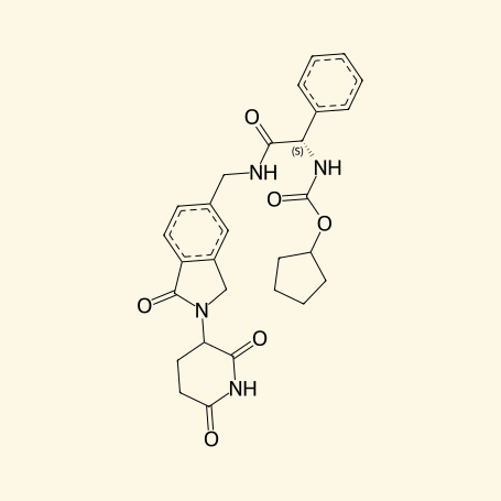 O=C1CCC(N2Cc3cc(CNC(=O)[C@@H](NC(=O)OC4CCCC4)c4ccccc4)ccc3C2=O)C(=O)N1